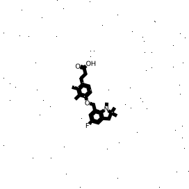 Cc1c(CCC(=O)O)ccc(OCc2cc(F)cc3c2N(C)C(C)(C)C3)c1C